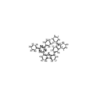 C1=Cc2c(n(-c3ccccc3)c3ccc(-c4cccc5c4sc4c(-c6nc(-c7ccccc7)nc(-c7ccccc7)n6)cccc45)cc23)CC1